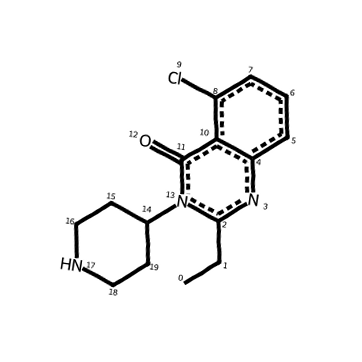 CCc1nc2cccc(Cl)c2c(=O)n1C1CCNCC1